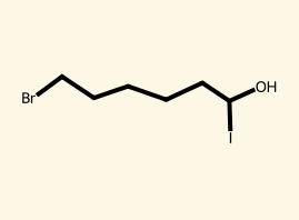 OC(I)CCCCCBr